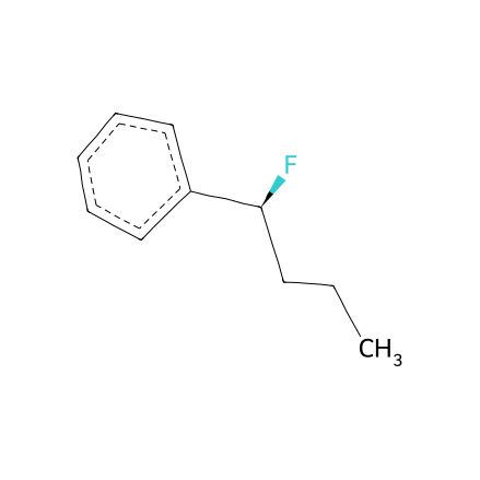 CCC[C@H](F)c1ccccc1